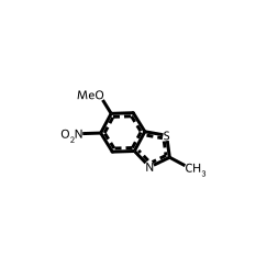 COc1cc2sc(C)nc2cc1[N+](=O)[O-]